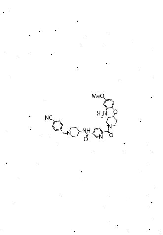 COc1ccc(OC2CCN(C(=O)c3ccc(C(=O)NC4CCN(Cc5ccc(C#N)cc5)CC4)cn3)CC2)c(N)c1